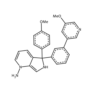 COc1ccc(C2(c3cccc(-c4cncc(OC)c4)c3)NC=C3C2=CC=CN3N)cc1